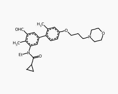 CCN(C(=O)C1CC1)c1cc(-c2ccc(OCCCN3CCOCC3)cc2C)cc(C=O)c1C